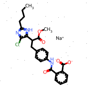 CCCCc1nc(Cl)c(C(Cc2ccc(NC(=O)c3ccccc3C(=O)[O-])cc2)C(=O)OC)[nH]1.[Na+]